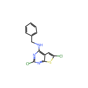 Clc1nc(NCc2ccccc2)c2cc(Cl)sc2n1